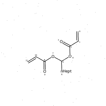 C=CC(=O)OC(CCCCCCC)OC(=O)C=C